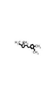 CCc1cc(CCC2CCC(CC)N2C)ccc1C